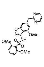 COc1cccc(OC)c1S(=O)(=O)Nc1noc2cc(Cc3ncccn3)cc(OC)c12